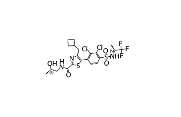 C[C@H](NS(=O)(=O)c1ccc(-c2sc(C(=O)NC[C@@H](C)O)nc2CC2CCC2)c(Cl)c1Cl)C(F)(F)F